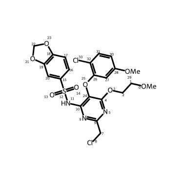 COCCOc1nc(CCl)nc(NS(=O)(=O)c2ccc3c(c2)OCO3)c1Oc1cc(OC)ccc1Cl